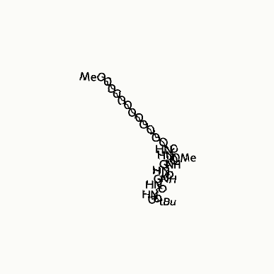 COCCOCCOCCOCCOCCOCCOCCOCCOCCOCCOCCOCCNC(=O)C(COC)NC(=O)CNC(=O)CNC(=O)CNC(=O)CNC(=O)CCNC(=O)OCC(C)(C)C